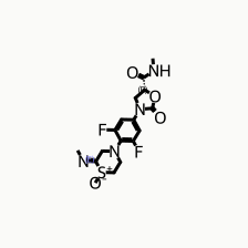 C/N=C1\CN(c2c(F)cc(N3C[C@H](C(=O)NC)OC3=O)cc2F)CC[S+]1[O-]